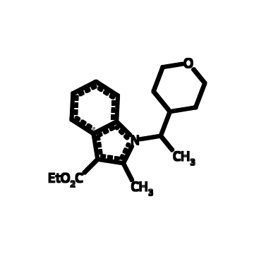 CCOC(=O)c1c(C)n(C(C)C2CCOCC2)c2ccccc12